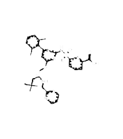 Cc1cccc(C)c1-c1cc(OC[C@@H](CC(C)(C)C)NCc2ncccn2)nc(NS(=O)(=O)c2cccc(C(=O)O)n2)n1